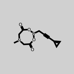 CN1CC(=O)OB(CC#CC2=CC2)OC(=O)C1